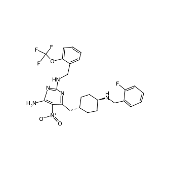 Nc1nc(NCc2ccccc2OC(F)(F)F)nc(C[C@H]2CC[C@H](NCc3ccccc3F)CC2)c1[N+](=O)[O-]